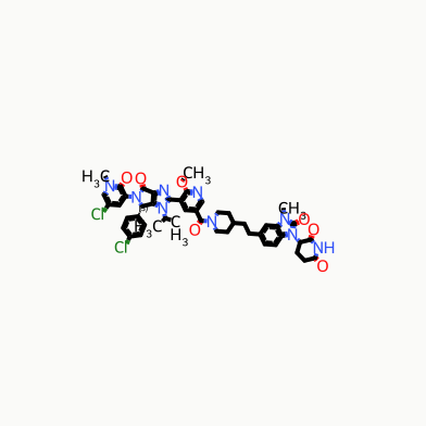 COc1ncc(C(=O)N2CCC(CCc3ccc4c(c3)n(C)c(=O)n4C3CCC(=O)NC3=O)CC2)cc1-c1nc2c(n1C(C)C)[C@H](c1ccc(Cl)cc1)N(c1cc(Cl)cn(C)c1=O)C2=O